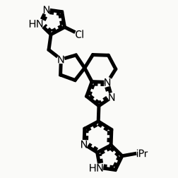 CC(C)c1c[nH]c2ncc(-c3cc4n(n3)CCCC43CCN(Cc4[nH]ncc4Cl)C3)cc12